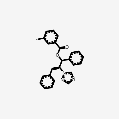 O=C(OC(C(=Cc1ccccc1)n1cncn1)c1ccccc1)c1cccc(F)c1